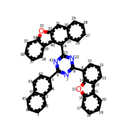 c1ccc2cc(-c3nc(-c4cccc5c4oc4ccccc45)nc(-c4c5ccccc5cc5oc6ccccc6c45)n3)ccc2c1